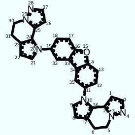 c1cc2n(n1)CCc1ccn(-c3ccc4oc5ccc(-n6ccc7c6-c6ccnn6CC7)cc5c4c3)c1-2